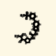 CN(C)C(=O)C1CCC(NC(=O)Nc2nc3ccc(-c4cccc(S(C)(=O)=O)c4)cc3s2)C1